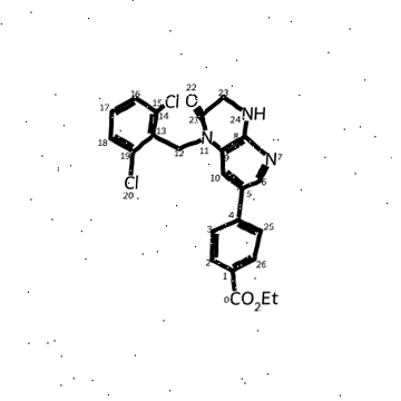 CCOC(=O)c1ccc(-c2cnc3c(c2)N(Cc2c(Cl)cccc2Cl)C(=O)CN3)cc1